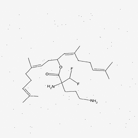 CC(C)=CCCC(C)=CCC(C=C(C)CCC=C(C)C)OC(=O)C(N)(CCCN)C(F)F